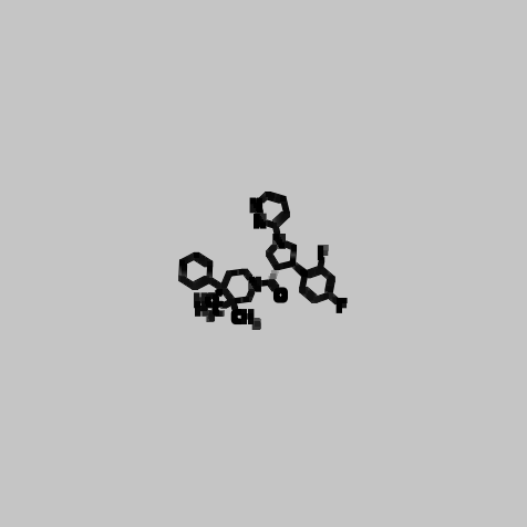 CC1(C)CN(C(=O)[C@@H]2CN(c3cccnn3)C[C@H]2c2ccc(F)cc2F)CC[C@@]1(O)c1ccccc1